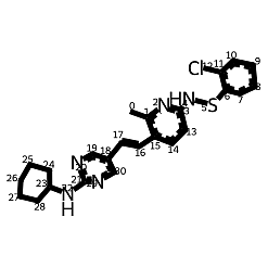 Cc1nc(NSc2ccccc2Cl)ccc1/C=C/c1cnc(NC2CCCCC2)nc1